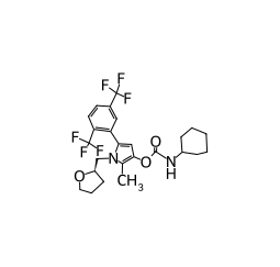 Cc1c(OC(=O)NC2CCCCC2)cc(-c2cc(C(F)(F)F)ccc2C(F)(F)F)n1C[C@H]1CCCO1